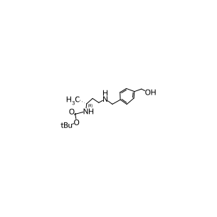 C[C@H](CCNCc1ccc(CO)cc1)NC(=O)OC(C)(C)C